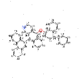 C1=Cc2c(cc(-c3c4ccccc4c(Oc4ccc(-c5ccccc5)c5ccccc45)c4ccncc34)c3ccccc23)CC1